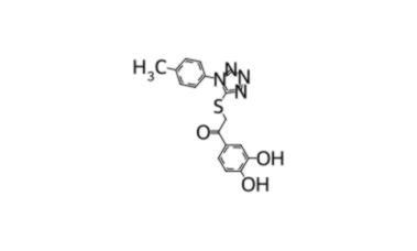 Cc1ccc(-n2nnnc2SCC(=O)c2ccc(O)c(O)c2)cc1